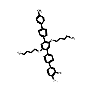 CCCCCOc1cc(-c2ccc(-c3ccc(C)c(C)c3)cc2)c(OCCCCC)cc1-c1ccc(-c2ccc(C)cc2)cc1